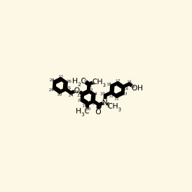 C=C(C)c1cc(C(=O)N(C)Cc2ccc(CO)cc2)c(C)cc1OCc1ccccc1